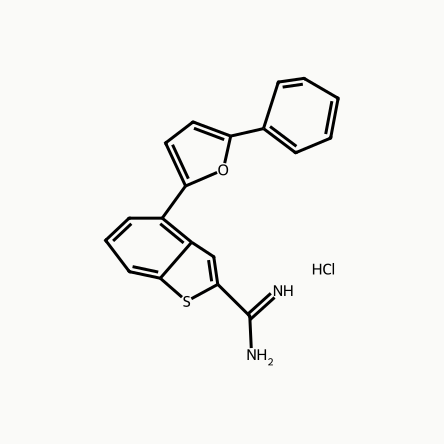 Cl.N=C(N)c1cc2c(-c3ccc(-c4ccccc4)o3)cccc2s1